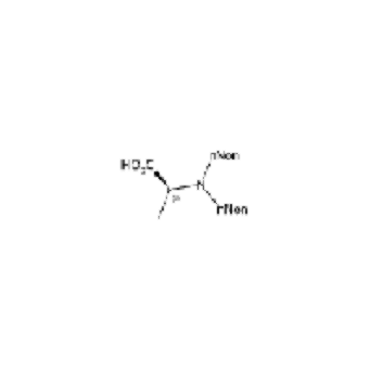 CCCCCCCCCN(CCCCCCCCC)[C@@H](C)C(=O)O